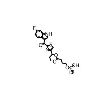 CCC(OC(=O)CCCO[PH](=O)O)c1csc(C(=O)c2c[nH]c3cc(F)ccc23)n1